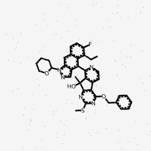 CCc1c(F)ccc2cc3c(cnn3C3CCCCO3)c(-c3nccc4c3C(C)(O)c3nc(SC)nc(OCc5ccccc5)c3-4)c12